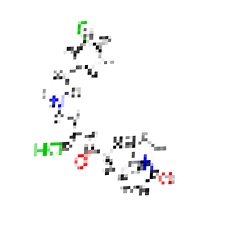 CN(CCCCC(=O)c1cc2c3c(c1)CCN3C(=O)CC2)CCc1cccc(Cl)c1.Cl